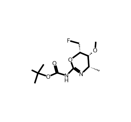 CO[C@@H]1[C@H](C)N=C(NC(=O)OC(C)(C)C)O[C@@H]1CF